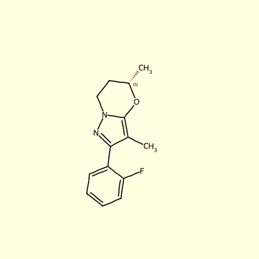 Cc1c(-c2ccccc2F)nn2c1O[C@@H](C)CC2